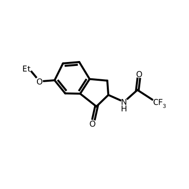 CCOc1ccc2c(c1)C(=O)C(NC(=O)C(F)(F)F)C2